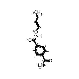 CCC=CONC(=O)c1ccc(C(N)=O)cc1